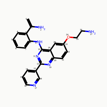 C=C(N)c1ccccc1Nc1nc(-c2cccnc2)nc2ccc(OCCN)cc12